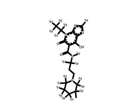 [2H]c1nc2c(s1)c(O)c(C(=O)N([2H])C([2H])([2H])CCN1C([2H])([2H])C([2H])([2H])C([2H])([2H])C([2H])(C)C1([2H])[2H])c(=O)n2C([2H])([2H])C([2H])([2H])[2H]